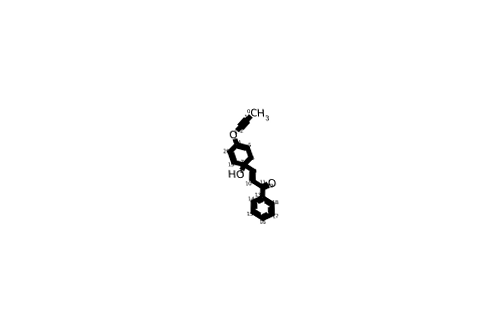 CC#COC1=CCC(O)(C=CC(=O)c2ccccc2)C=C1